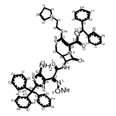 CON=C(C(=O)NC1C(=O)N2C(C(=O)OC(c3ccccc3)c3ccccc3)=C(SCCN3CCCC3)SCC12)c1nc(C(c2ccccc2)(c2ccccc2)c2ccccc2)sc1N